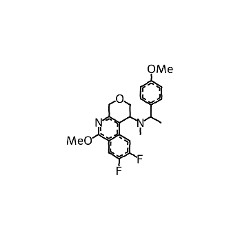 COc1ccc(C(C)N(C)C2COCc3nc(OC)c4cc(F)c(F)cc4c32)cc1